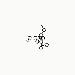 CC(C)(C)c1cccc(-c2ccc3c(c2)Oc2cc(N(c4ccccc4)c4ccccc4)cc4c2B3c2ccc(-c3cccc(C(C)(C)C)c3)cc2O4)c1